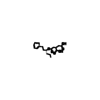 CCC[C@H](CCc1ccccc1)OC(=O)CC(CC(=O)O)C(=O)O